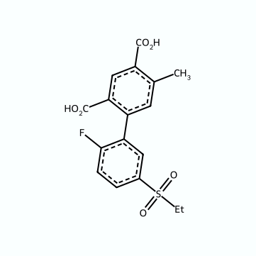 CCS(=O)(=O)c1ccc(F)c(-c2cc(C)c(C(=O)O)cc2C(=O)O)c1